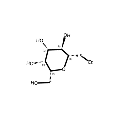 CCS[C@@H]1O[C@H](CO)[C@H](O)[C@H](O)[C@H]1O